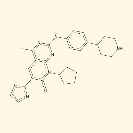 Cc1nc(Nc2ccc(C3CCNCC3)cc2)nc2c1cc(-c1nccs1)c(=O)n2C1CCCC1